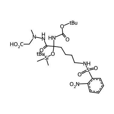 CN(CC(=O)O)NC(=O)C(CCCCNS(=O)(=O)c1ccccc1[N+](=O)[O-])(NC(=O)OC(C)(C)C)O[Si](C)(C)C(C)(C)C